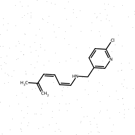 C=C(C)/C=C\C=C/NCc1ccc(Cl)nc1